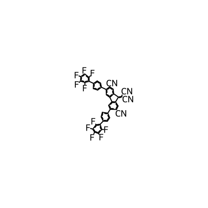 N#CC(C#N)=C1c2cc(C#N)c(-c3ccc(-c4c(F)c(F)c(F)c(F)c4F)cc3)cc2-c2cc(-c3ccc(-c4c(F)c(F)c(F)c(F)c4F)cc3)c(C#N)cc21